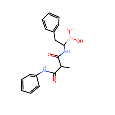 CC(C(=O)Nc1ccccc1)C(=O)NC(Cc1ccccc1)B(O)O